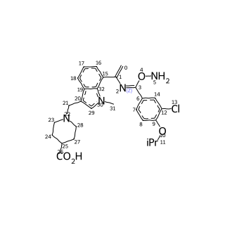 C=C(/N=C(\ON)c1ccc(OC(C)C)c(Cl)c1)c1cccc2c(CN3CCC(C(=O)O)CC3)cn(C)c12